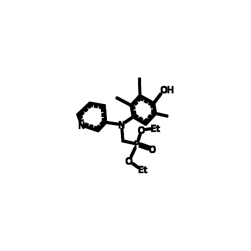 CCOP(=O)(CN(c1cccnc1)c1cc(C)c(O)c(C)c1C)OCC